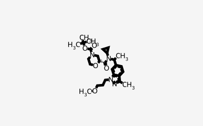 COCCCn1nc(C)c2ccc(C(C)N(C(=O)[C@H]3CN(C(=O)OC(C)(C)C)CCO3)C3CC3)cc21